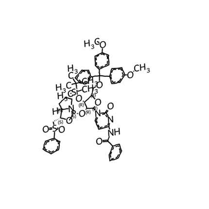 COc1ccc(C(OC[C@H]2O[C@@H](n3ccc(NC(=O)c4ccccc4)nc3=O)[C@H](O[P@]3O[C@H](CS(=O)(=O)c4ccccc4)[C@@H]4CCCN43)[C@@H]2O[Si](C)(C)C(C)(C)C)(c2ccccc2)c2ccc(OC)cc2)cc1